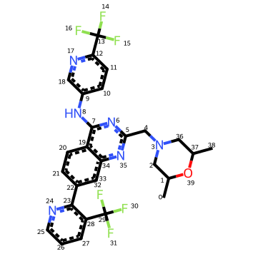 CC1CN(Cc2nc(Nc3ccc(C(F)(F)F)nc3)c3ccc(-c4ncccc4C(F)(F)F)cc3n2)CC(C)O1